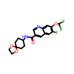 O=C(NC1CCC2(CC1)OCCO2)c1cnc2cc(OC(F)F)c(F)cc2c1